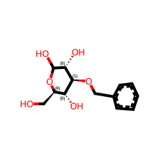 OC[C@H]1OC(O)[C@H](O)[C@@H](OCc2ccccc2)[C@@H]1O